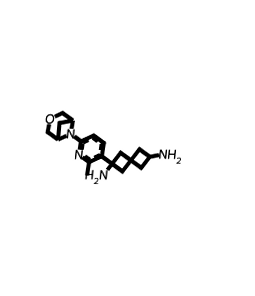 Cc1nc(N2C3COCC2C3)ccc1C1(N)CC2(CC(N)C2)C1